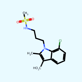 Cc1c(C(=O)O)c2cccc(Cl)c2n1CCCNS(C)(=O)=O